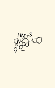 CCOC(OCC)[C@@H]1CCCN1C(=O)[C@H]1NCC(=S)C1C(=O)C1=Cc2ccccc2C1